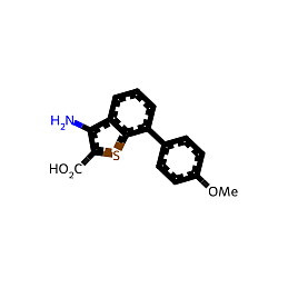 COc1ccc(-c2cccc3c(N)c(C(=O)O)sc23)cc1